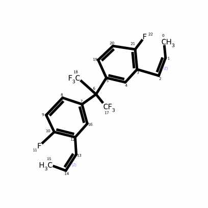 C/C=C\c1cc(C(c2ccc(F)c(/C=C\C)c2)(C(F)(F)F)C(F)(F)F)ccc1F